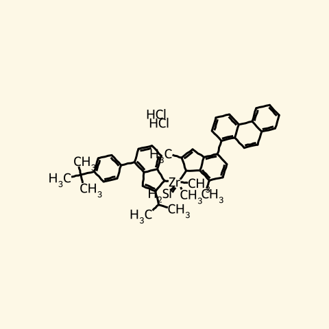 CC1=Cc2c(-c3cccc4c3ccc3ccccc34)ccc(C)c2[CH]1[Zr]([CH3])([CH3])(=[SiH2])[CH]1C(C(C)C)=Cc2c(-c3ccc(C(C)(C)C)cc3)cccc21.Cl.Cl